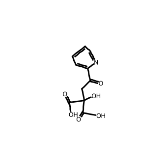 O=C(CC(O)(C(=O)O)C(=O)O)c1ccccn1